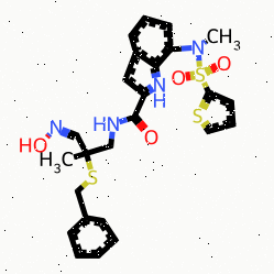 CN(c1cccc2cc(C(=O)NCC(C)(/C=N\O)SCc3ccccc3)[nH]c12)S(=O)(=O)c1cccs1